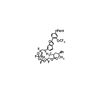 CCCCCc1ccc(-c2cc3ccc(SCC(F)(F)OC(F)(F)OC(F)(F)OC(F)(F)COC(=O)C(C)CC(C)C(C)C)cc3o2)c(OC(F)(F)F)c1